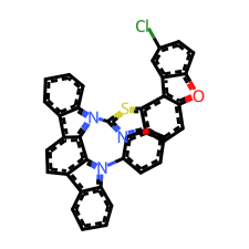 Clc1ccc2oc3ccc4nc(-n5c6ccccc6c6ccc7c8ccccc8n(-c8ccccc8)c7c65)sc4c3c2c1